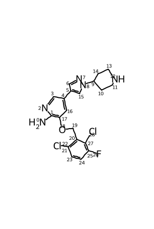 Nc1ncc(-c2cnn(C3CCNCC3)c2)cc1OCc1c(Cl)ccc(F)c1Cl